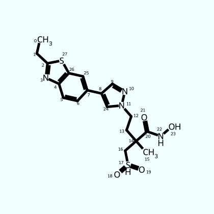 CCc1nc2ccc(-c3cnn(CCC(C)(C[SH](=O)=O)C(=O)NO)c3)cc2s1